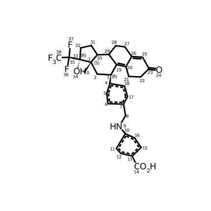 C[C@]12C[C@H](c3ccc(CNc4ccc(C(=O)O)cc4)cc3)C3=C4CCC(=O)C=C4CCC3C1CC[C@]2(O)C(F)(F)C(F)(F)F